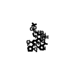 [2H]C([2H])([2H])N1C(=O)[C@H]2CN(C(=O)OC(C)(C)C)CCN2c2c1c(=O)n(-c1c(C)ccnc1C(C)C)c1nc(-c3c(F)cccc3OC)c(Cl)cc21